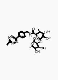 Cc1nnc(-c2ccc(CNC(=O)C3O[C@@H](O[C@@H]4C(C(=O)O)O[C@@H](C)C(O)[C@@H]4O)C(O)[C@H](O)[C@@H]3C)cc2)nn1